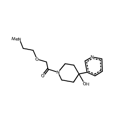 CNCCOCC(=O)N1CCC(O)(c2cccnc2)CC1